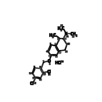 CC1c2ccc(OCc3ccc(Cl)cc3Cl)cc2CCC1N(C)C.Cl